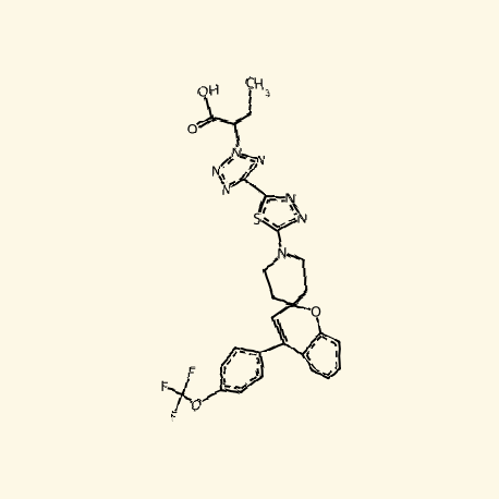 CCC(C(=O)O)n1nnc(-c2nnc(N3CCC4(C=C(c5ccc(OC(F)(F)F)cc5)c5ccccc5O4)CC3)s2)n1